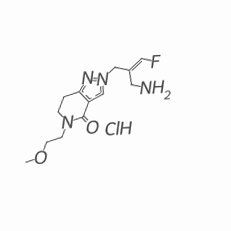 COCCN1CCc2nn(C/C(=C/F)CN)cc2C1=O.Cl